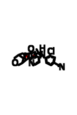 Cc1c(Nc2ccc(C#N)cc2Cl)ccnc1OC1C2COCC1CN(C(=O)OC(C)(C)C)C2